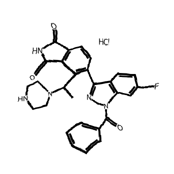 CC(c1c(-c2nn(C(=O)c3ccccc3)c3cc(F)ccc23)ccc2c1C(=O)NC2=O)N1CCNCC1.Cl